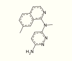 Cc1ccc2ccnc(N(C)c3ccc(N)nn3)c2c1